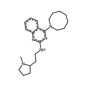 CN1CCCC1CCNc1nc(N2CCCCCCC2)c2ccccc2n1